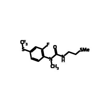 CSCCNC(=O)N(C)c1ccc(SC(F)(F)F)cc1F